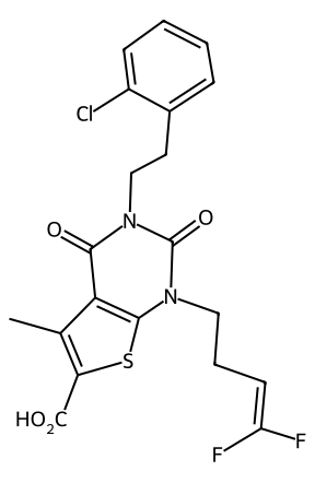 Cc1c(C(=O)O)sc2c1c(=O)n(CCc1ccccc1Cl)c(=O)n2CCC=C(F)F